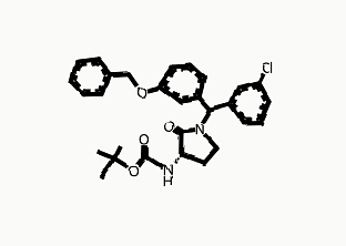 CC(C)(C)OC(=O)N[C@H]1CCN(C(c2cccc(Cl)c2)c2cccc(OCc3ccccc3)c2)C1=O